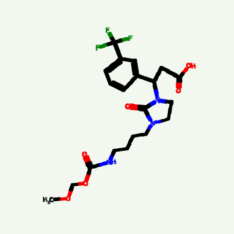 COCOC(=O)NCCCCN1CCN(C(CC(=O)O)c2cccc(C(F)(F)F)c2)C1=O